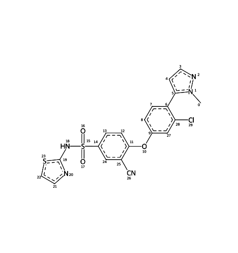 Cn1nccc1-c1ccc(Oc2ccc(S(=O)(=O)Nc3nccs3)cc2C#N)cc1Cl